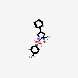 CCC1(CC)CC(c2ccccc2)CN1S(=O)(=O)c1ccc(C)cc1